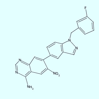 Nc1ncnc2cc(-c3ccc4c(cnn4Cc4cccc(F)c4)c3)c([N+](=O)[O-])cc12